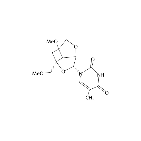 COC[C@]12CC3(OC)COC(C31)[C@H](n1cc(C)c(=O)[nH]c1=O)O2